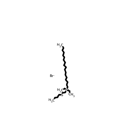 CCCCCCCCCCCCCCCCCC[N+](CC)(CC)CCSCCCC.[Br-]